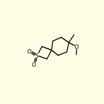 COC1(C)CCC2(CC1)CS(=O)(=O)C2